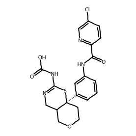 O=C(O)NC1=NCC2COCC[C@]2(c2cccc(NC(=O)c3ccc(Cl)cn3)c2)S1